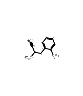 C#CC(Cc1ccccc1OC)C(=O)O